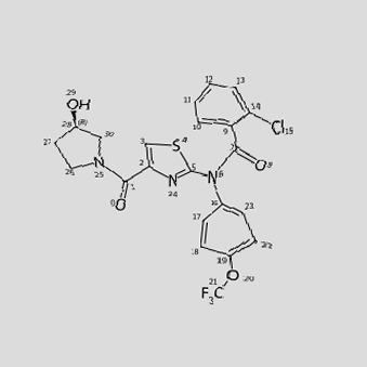 O=C(c1csc(N(C(=O)c2ccccc2Cl)c2ccc(OC(F)(F)F)cc2)n1)N1CC[C@@H](O)C1